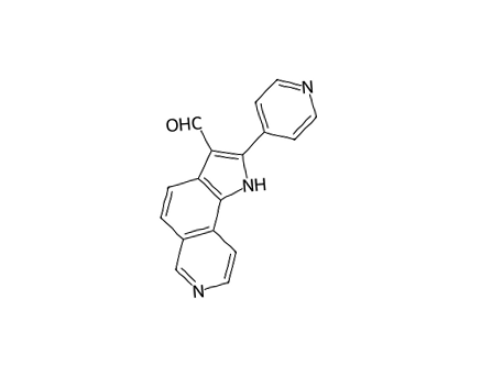 O=Cc1c(-c2ccncc2)[nH]c2c1ccc1cnccc12